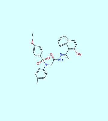 CCOc1ccc(S(=O)(=O)N(CC(=O)NN=C(C)c2c(O)ccc3ccccc23)c2ccc(C)cc2)cc1